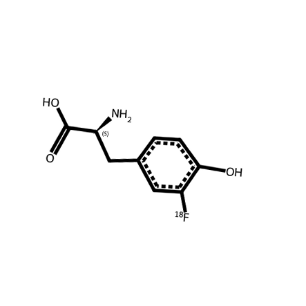 N[C@@H](Cc1ccc(O)c([18F])c1)C(=O)O